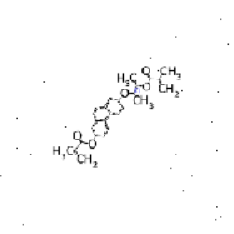 C=C(C)C(=O)O/C(C)=C(\C)Oc1ccc2c(ccc3cc(OC(=O)C(=C)C)ccc32)c1